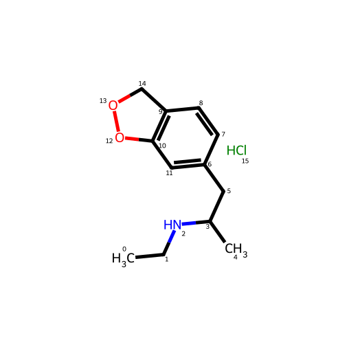 CCNC(C)Cc1ccc2c(c1)OOC2.Cl